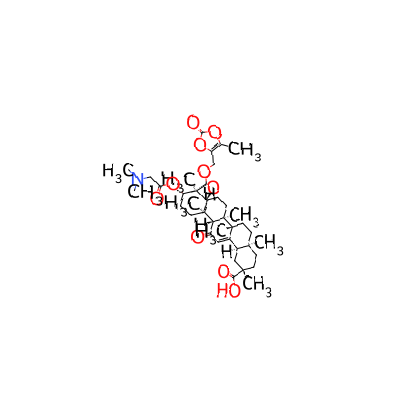 Cc1oc(=O)oc1COC(=O)[C@]1(C)[C@@H](OC(=O)CN(C)C)CC[C@@]2(C)[C@H]1CC[C@]1(C)[C@@H]2C(=O)C=C2[C@@H]3C[C@@](C)(C(=O)O)CC[C@]3(C)CC[C@]21C